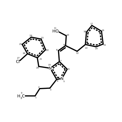 CCCCc1ncc(/C=C(/CO)Cc2ccccc2)n1Cc1ccccc1Cl